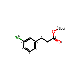 CC(C)(C)OC(=O)CCc1cccc(Br)c1